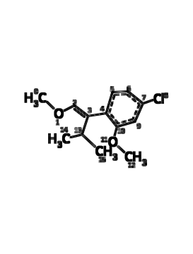 CO/C=C(/c1ccc(Cl)cc1OC)C(C)C